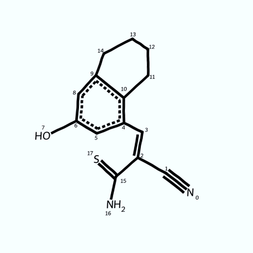 N#CC(=Cc1cc(O)cc2c1CCCC2)C(N)=S